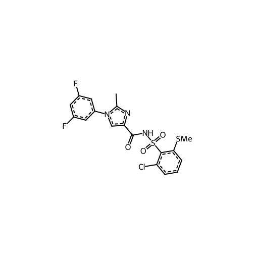 CSc1cccc(Cl)c1S(=O)(=O)NC(=O)c1cn(-c2cc(F)cc(F)c2)c(C)n1